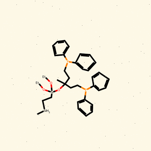 CCO[Si](CC[SiH2]C)(OCC)OC(C)(CCP(c1ccccc1)c1ccccc1)CCP(c1ccccc1)c1ccccc1